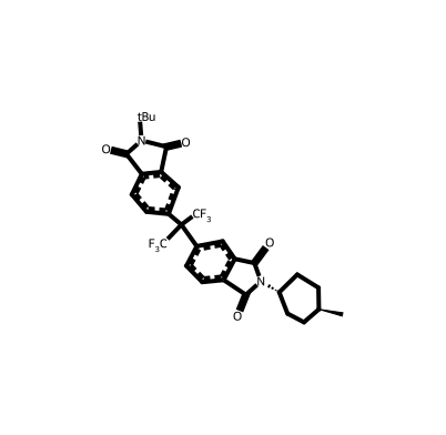 CC(C)(C)N1C(=O)c2ccc(C(c3ccc4c(c3)C(=O)N([C@H]3CC[C@H](C)CC3)C4=O)(C(F)(F)F)C(F)(F)F)cc2C1=O